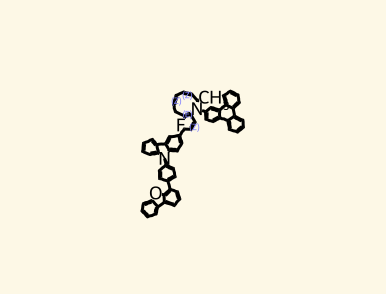 CC1/C=C\C=C/C/C(F)=C(/C=C\Cc2ccc3c(c2)c2ccccc2n3-c2ccc(-c3cccc4c3oc3ccccc34)cc2)N1c1ccc2c3ccccc3c3ccccc3c2c1